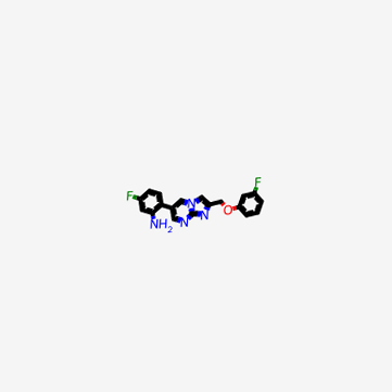 Nc1cc(F)ccc1-c1cnc2nc(COc3cccc(F)c3)cn2c1